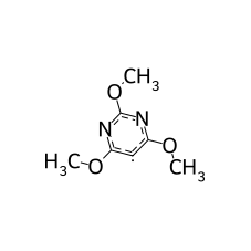 COc1[c]c(OC)nc(OC)n1